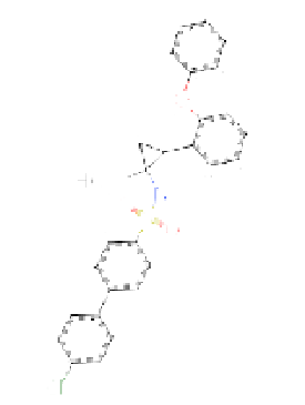 O=C(O)C1(NS(=O)(=O)c2ccc(-c3ccc(Cl)cc3)cc2)CC1c1ccccc1Oc1ccccc1